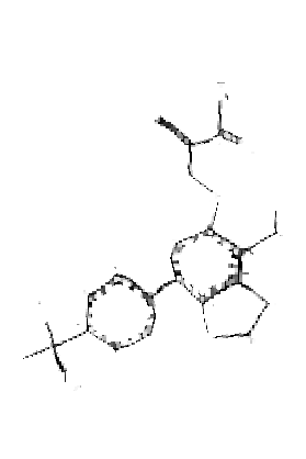 C=C(CNc1cc(-c2ccc(C(C)(F)F)cc2)c2c(c1CO)CCO2)C(=O)O